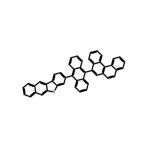 c1ccc2cc3c(cc2c1)sc1cc(-c2c4ccccc4c(-c4cc5ccc6ccccc6c5c5ccccc45)c4ccccc24)ccc13